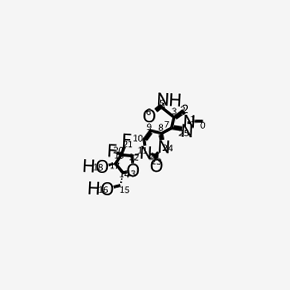 Cn1cc(C(N)=O)c(-c2ccn([C@@H]3O[C@H](CO)[C@@H](O)C3(F)F)c(=O)n2)n1